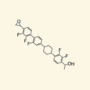 CC(O)c1ccc(C2CCC(c3ccc(-c4ccc(C5CO5)c(F)c4F)c(F)c3)CC2)c(F)c1F